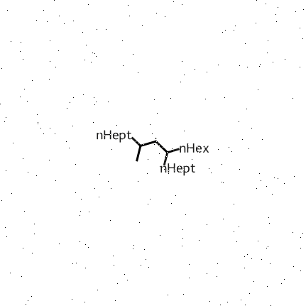 CCCCCCCC(C)[CH]C(CCCCCC)CCCCCCC